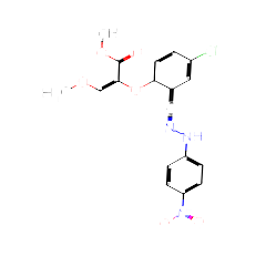 COC=C(OC1C=CC(Cl)=CC1=C=NNc1ccc([N+](=O)[O-])cc1)C(=O)OC